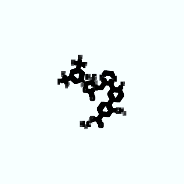 COC(=O)c1ccc(-c2ccc(F)c(-c3nccnc3CN3C(=O)O[C@H](c4cc(C(F)(F)F)cc(C(F)(F)F)c4)[C@@H]3C)c2)c(C)c1